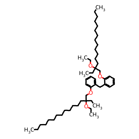 CCCCCCCCCCCCCC(CC)(COc1ccccc1Cc1ccccc1OCC(CC)(CCCCCCCCCCCCC)OCC)OCC